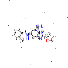 COc1ccccc1CNc1cc(N)n2nc(-c3ccco3)nc2c1